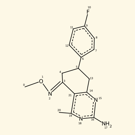 CON=C1CC(c2ccc(F)cc2)Cc2nc(N)nc(C)c21